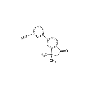 CC1(C)CC(=O)c2ccc(-c3cccc(C#N)c3)cc21